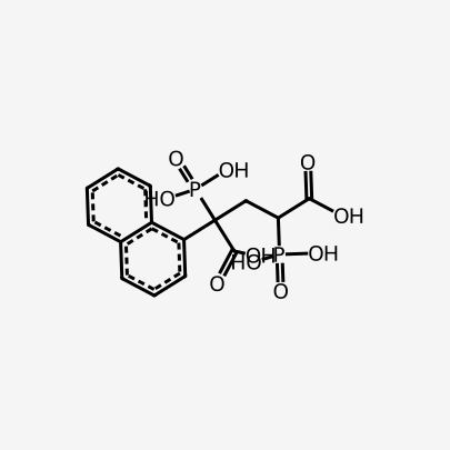 O=C(O)C(CC(C(=O)O)(c1cccc2ccccc12)P(=O)(O)O)P(=O)(O)O